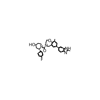 Cc1nc2ccc(-c3cc(C)c4c(c3)CN(C(=O)N3CC[C@H](O)C[C@@H]3c3ccc(F)cc3)CCO4)cc2[nH]1